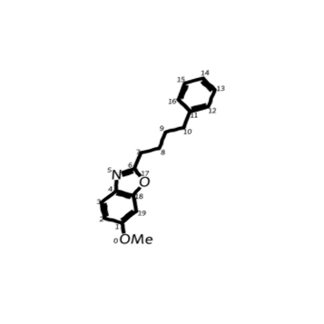 COc1ccc2nc(CCCCc3ccccc3)oc2c1